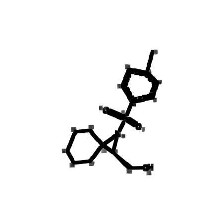 Cc1ccc(S(=O)(=O)N2[C@@H](CO)C23CCCCC3)cc1